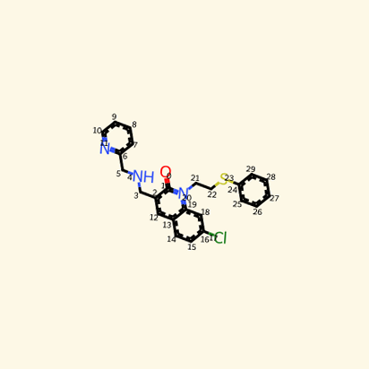 O=c1c(CNCc2ccccn2)cc2ccc(Cl)cc2n1CCSc1ccccc1